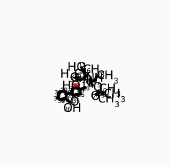 CCCC1(COC(=O)C(C)(C)C)NC(C(C)(C)O)=C(C(=O)O)N1Cc1ccc(-c2ccccc2C(=O)O)cc1